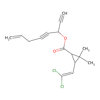 C#CC(C#CCC=C)OC(=O)C1C(C=C(Cl)Cl)C1(C)C